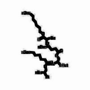 CCCCCCCCCCCCCC(=O)OCC(CCCCCCCC)CCCCCCCCCC.CCCCCCCCCCCCCCCC(=O)OCC(CC)CCCC.CCCCCCCCCCCCCCCCOC(=O)C(CC)CCCC